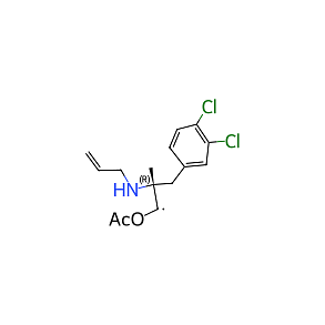 C=CCN[C@@](C)([CH]OC(C)=O)Cc1ccc(Cl)c(Cl)c1